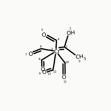 C[C](O)=[Cr]([CH]=O)([CH]=O)([CH]=O)([CH]=O)[CH]=O